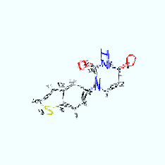 O=c1ccn(-c2ccc3sccc3c2)c(=O)[nH]1